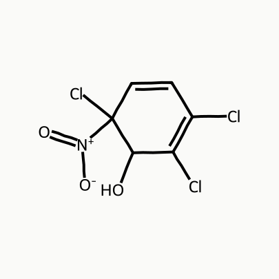 O=[N+]([O-])C1(Cl)C=CC(Cl)=C(Cl)C1O